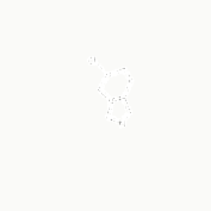 Clc1ccc2cncn2c1